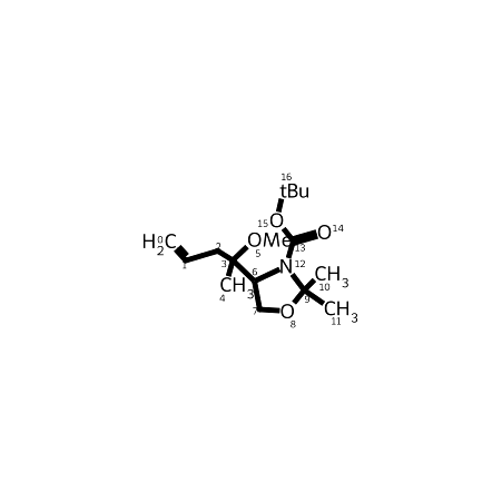 C=CCC(C)(OC)C1COC(C)(C)N1C(=O)OC(C)(C)C